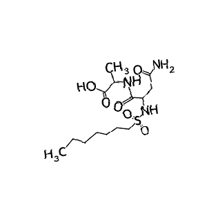 CCCCCCCS(=O)(=O)NC(CC(N)=O)C(=O)NC(C)C(=O)O